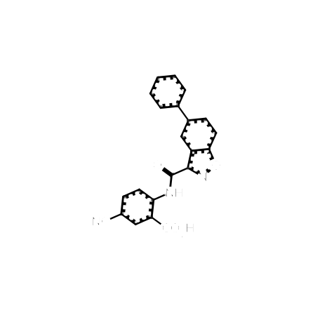 N#Cc1ccc(NC(=O)c2noc3ccc(-c4ccccc4)cc23)c(C(=O)O)c1